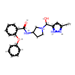 CC(C)c1cc(C(O)N2CCC(NC(=O)c3ccccc3Oc3ccccc3)C2)[nH]n1